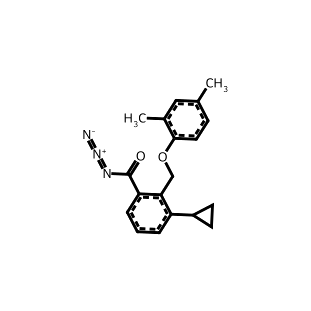 Cc1ccc(OCc2c(C(=O)N=[N+]=[N-])cccc2C2CC2)c(C)c1